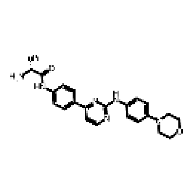 CCC[C@@H](N)C(=O)Nc1ccc(-c2ccnc(Nc3ccc(N4CCOCC4)cc3)n2)cc1